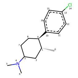 C[C@@H]1CC(N(C)C)CC[C@H]1c1ccc(Cl)cc1